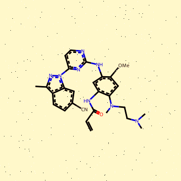 C=CC(=O)Nc1cc(Nc2nccc(-n3nc(C)c4ccc(C#N)cc43)n2)c(OC)cc1N(C)CCN(C)C